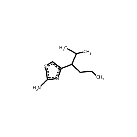 CCCC(c1csc(N)n1)C(C)C